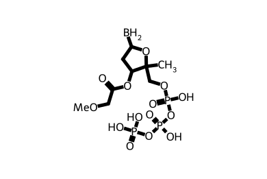 BC1CC(OC(=O)COC)C(C)(COP(=O)(O)OP(=O)(O)OP(=O)(O)O)O1